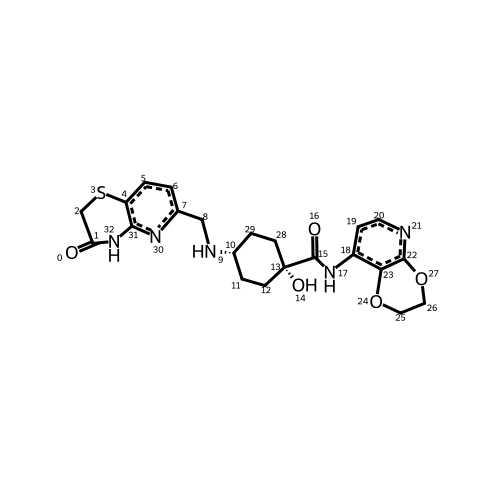 O=C1CSc2ccc(CN[C@H]3CC[C@](O)(C(=O)Nc4ccnc5c4OCCO5)CC3)nc2N1